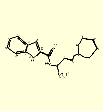 O=C(NC(CCC1CCCCC1)C(=O)O)c1cc2ccccc2[nH]1